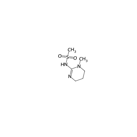 CN1CCCN=C1NS(C)(=O)=O